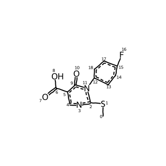 CSc1ncc(C(=O)O)c(=O)n1-c1ccc(F)cc1